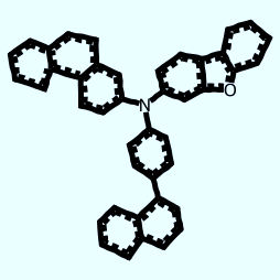 c1ccc2c(-c3ccc(N(c4ccc5c(ccc6ccccc65)c4)c4ccc5c(c4)oc4ccccc45)cc3)cccc2c1